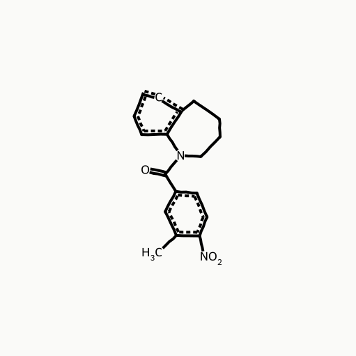 Cc1cc(C(=O)N2CCCCc3ccccc32)ccc1[N+](=O)[O-]